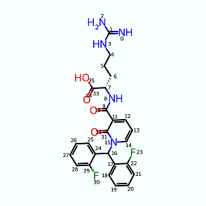 N=C(N)NCCC[C@H](NC(=O)c1cccn(C(c2ccccc2F)c2ccccc2F)c1=O)C(=O)O